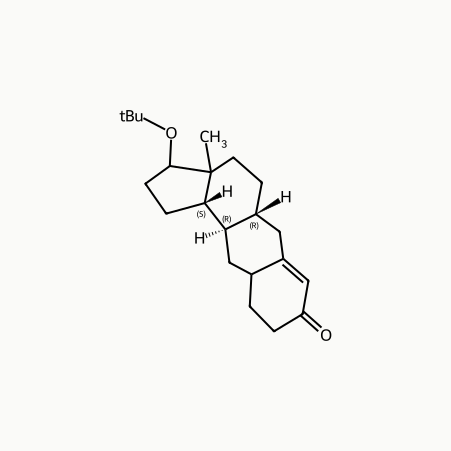 CC(C)(C)OC1CC[C@H]2[C@@H]3CC4CCC(=O)C=C4C[C@H]3CCC12C